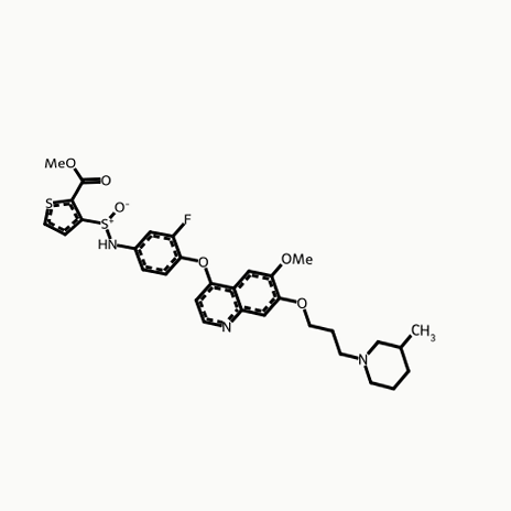 COC(=O)c1sccc1[S+]([O-])Nc1ccc(Oc2ccnc3cc(OCCCN4CCCC(C)C4)c(OC)cc23)c(F)c1